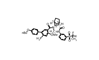 CCCCOc1ccc(-c2cc(C(=O)N(C)[C@@H]3[C@H]4CC[C@H](C4)[C@@H]3C(=O)Nc3cccc(S(=O)(=O)C(C)(F)I)c3)c(OC)cc2P)cc1